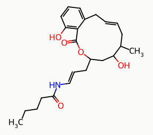 CCCCC(=O)N/C=C/CC1CC(O)C(C)C/C=C/Cc2cccc(O)c2C(=O)O1